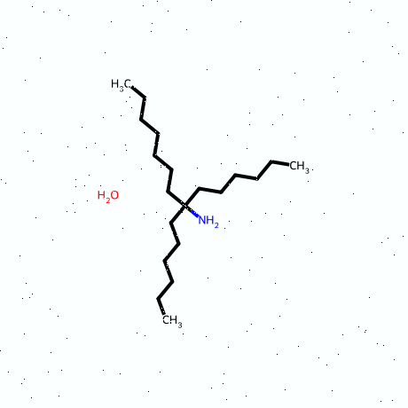 CCCCCCCC(N)(CCCCCC)CCCCCC.O